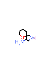 NC1CN(I)CC12CCCCO2